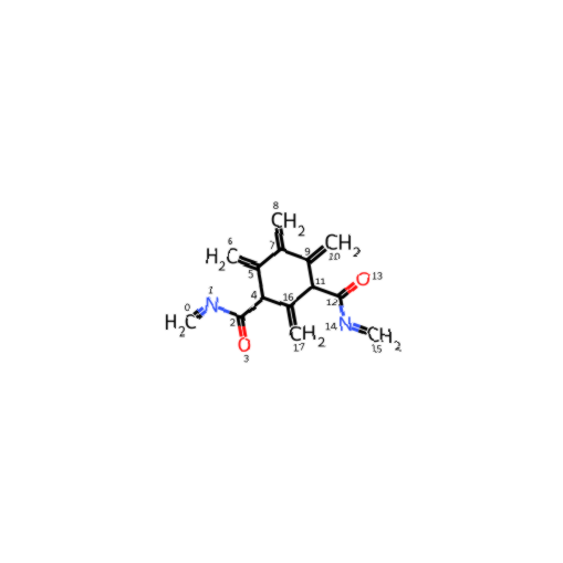 C=NC(=O)C1C(=C)C(=C)C(=C)C(C(=O)N=C)C1=C